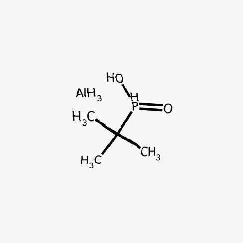 CC(C)(C)[PH](=O)O.[AlH3]